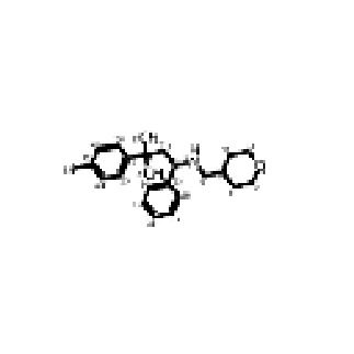 CC(C)(CC(NCC1CCOCC1)c1ccccc1)c1ccc(I)cc1